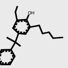 CCCCCc1cc(C(C)(C)c2ccccc2)cc(CC)c1O